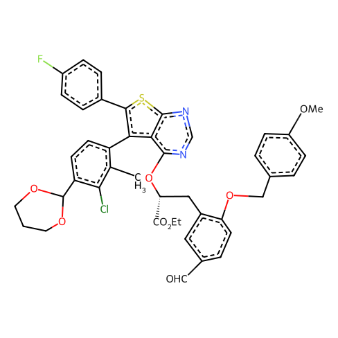 CCOC(=O)[C@@H](Cc1cc(C=O)ccc1OCc1ccc(OC)cc1)Oc1ncnc2sc(-c3ccc(F)cc3)c(-c3ccc(C4OCCCO4)c(Cl)c3C)c12